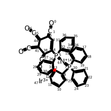 O=C=c1cc(P(=[N+]=P(c2ccccc2)(c2ccccc2)c2ccccc2)(c2ccccc2)c2ccccc2)c(=C=O)c(=C=O)c1=C=O.[Ir+3]